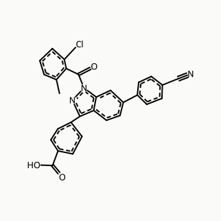 Cc1cccc(Cl)c1C(=O)n1nc(-c2ccc(C(=O)O)cc2)c2ccc(-c3ccc(C#N)cc3)cc21